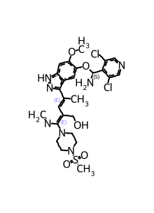 C=N/C(=C(\C=C(/C)c1n[nH]c2cc(OC)c(O[C@H](N)c3c(Cl)cncc3Cl)cc12)CO)N1CCN(S(C)(=O)=O)CC1